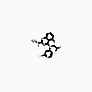 NNc1nc(N(CC(F)F)c2ccnc(Br)c2)c2c(F)cccc2n1